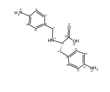 Nc1ccc(CN[C@@H](Cc2ccc(N)cc2)C(=O)O)cc1